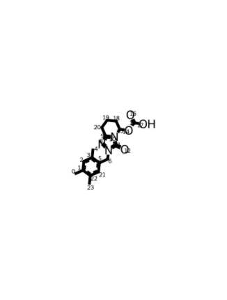 Cc1cc(C)c(Cn2nc3n(c2=O)C(OC(=O)O)CCC3)cc1C